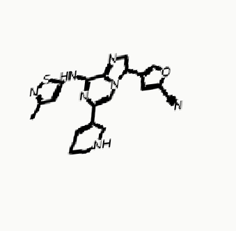 Cc1cc(NC2=NC(C3=CCCNC3)=CN3C2=NCC3c2coc(C#N)c2)sn1